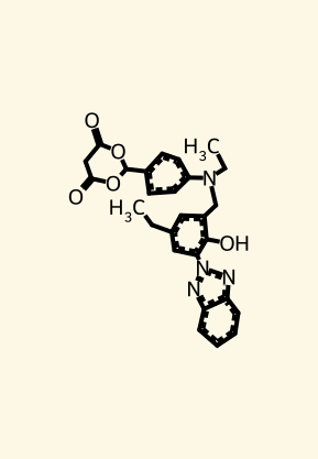 CCc1cc(CN(CC)c2ccc(C3OC(=O)CC(=O)O3)cc2)c(O)c(-n2nc3ccccc3n2)c1